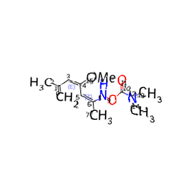 C=C(C)/C=C(\C=C(\C)NOC(=O)N(C)C)OC